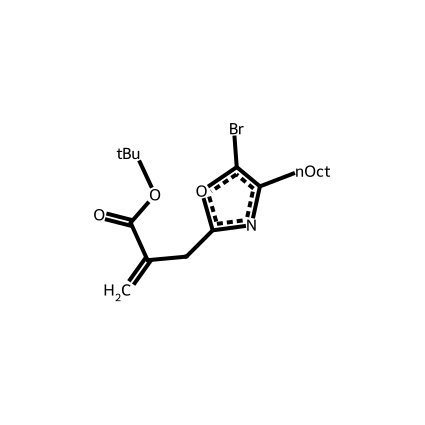 C=C(Cc1nc(CCCCCCCC)c(Br)o1)C(=O)OC(C)(C)C